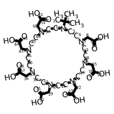 CC(C)(C)N1CCN(CC(=O)O)CCN(CC(=O)O)CCN(CC(=O)O)CCN(CC(=O)O)CCN(CC(=O)O)CCN(CC(=O)O)CCN(CC(=O)O)CC1